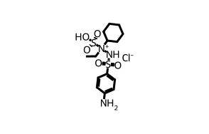 CC[N+](NS(=O)(=O)c1ccc(N)cc1)(C1CCCCC1)S(=O)(=O)O.[Cl-]